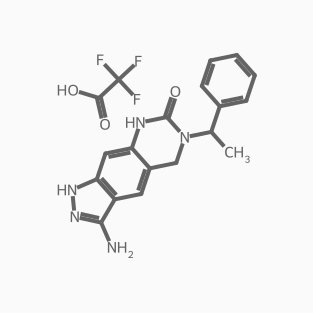 CC(c1ccccc1)N1Cc2cc3c(N)n[nH]c3cc2NC1=O.O=C(O)C(F)(F)F